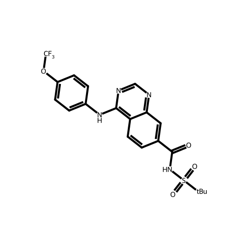 CC(C)(C)S(=O)(=O)NC(=O)c1ccc2c(Nc3ccc(OC(F)(F)F)cc3)ncnc2c1